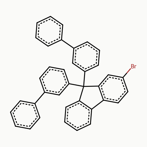 Brc1ccc2c(c1)C(c1cccc(-c3ccccc3)c1)(c1cccc(-c3ccccc3)c1)c1ccccc1-2